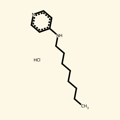 CCCCCCCCNc1ccncc1.Cl